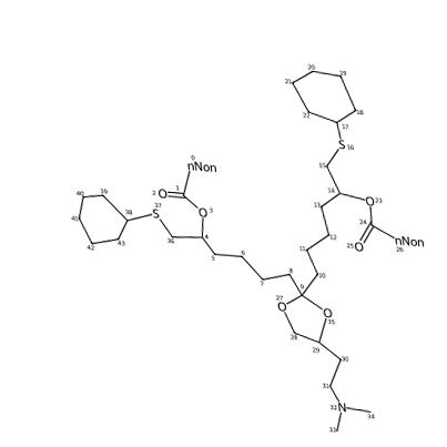 CCCCCCCCCC(=O)OC(CCCCC1(CCCCC(CSC2CCCCC2)OC(=O)CCCCCCCCC)OCC(CCN(C)C)O1)CSC1CCCCC1